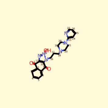 O=C1c2ccccc2C(=O)c2c1n[n+](O)n2CCCN1CCN(c2ccccn2)CC1